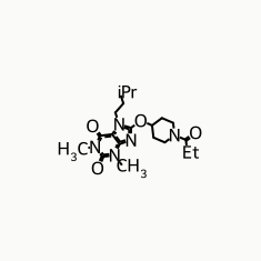 CCC(=O)N1CCC(Oc2nc3c(c(=O)n(C)c(=O)n3C)n2CCC(C)C)CC1